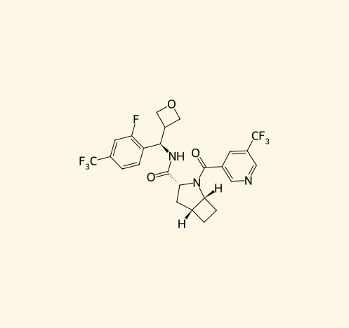 O=C(N[C@@H](c1ccc(C(F)(F)F)cc1F)C1COC1)[C@H]1C[C@H]2CC[C@H]2N1C(=O)c1cncc(C(F)(F)F)c1